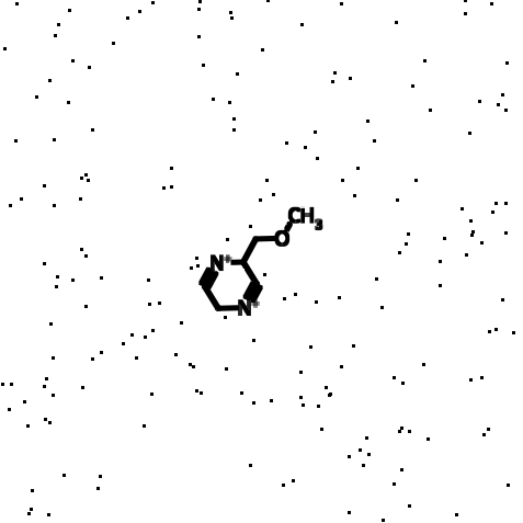 COCC1C#[N+]CC#[N+]1